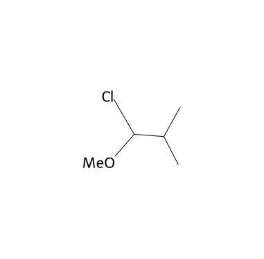 COC(Cl)C(C)C